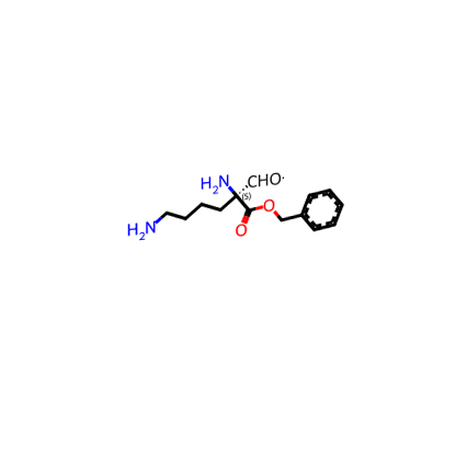 NCCCC[C@](N)([C]=O)C(=O)OCc1ccccc1